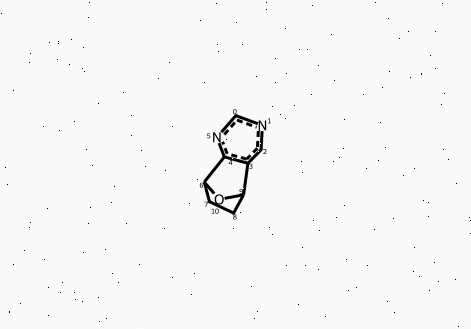 c1ncc2c(n1)C1CCC2O1